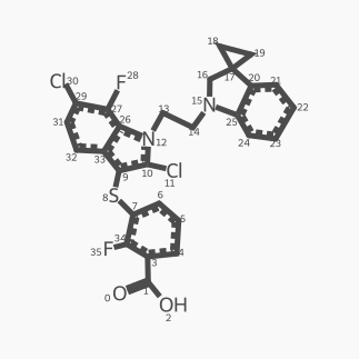 O=C(O)c1cccc(Sc2c(Cl)n(CCN3CC4(CC4)c4ccccc43)c3c(F)c(Cl)ccc23)c1F